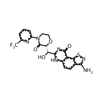 Nc1nsc2c1ccc1[nH]c(C(O)[C@H]3OCCN(c4cccc(C(F)(F)F)n4)C3=O)nc(=O)c12